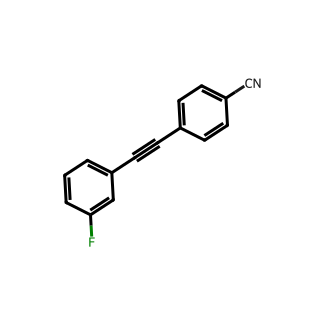 N#Cc1ccc(C#Cc2cccc(F)c2)cc1